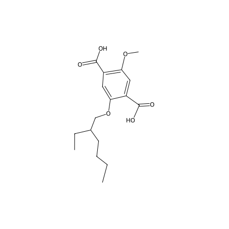 CCCCC(CC)COc1cc(C(=O)O)c(OC)cc1C(=O)O